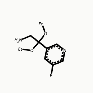 CCOC(CN)(OCC)c1cncc(F)c1